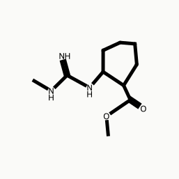 CNC(=N)NC1CCCCC1C(=O)OC